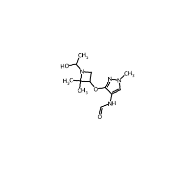 CC(O)N1CC(Oc2nn(C)cc2NC=O)C1(C)C